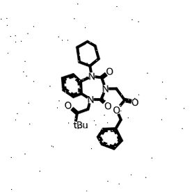 CC(C)(C)C(=O)CN1C(=O)N(CC(=O)OCc2ccccc2)C(=O)N(C2CCCCC2)c2ccccc21